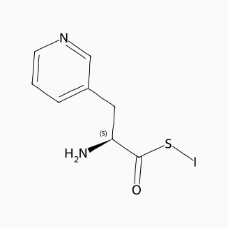 N[C@@H](Cc1cccnc1)C(=O)SI